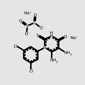 Nc1c(N)n(-c2cc(Cl)cc(Cl)c2)c(=S)[nH]c1=O.O=S([O-])S(=O)[O-].[Na+].[Na+]